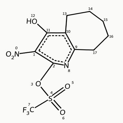 O=[N+]([O-])c1c(OS(=O)(=O)C(F)(F)F)nc2c(c1O)CCCCC2